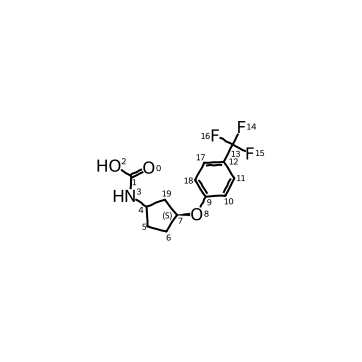 O=C(O)NC1CC[C@H](Oc2ccc(C(F)(F)F)cc2)C1